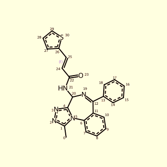 Cc1nnc2n1-c1ccccc1C(c1ccccc1)=NC2NC(=O)/C=C/c1cccs1